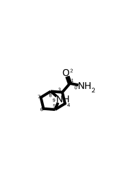 NC(=O)C1CC2CCC1N2